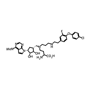 CNc1ncnc2c1ccn2[C@@H]1C[C@H](CN(CCCNCCc2ccc(Oc3ccc(Cl)cc3)c(F)c2)CCC(N)C(=O)O)[C@@H](O)[C@H]1O